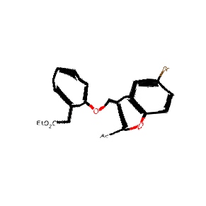 CCOC(=O)Cc1ccccc1OCc1c(C(C)=O)oc2ccc(Br)cc12